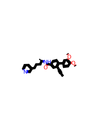 CC#Cc1cc(C(=O)N[C@H](C)CCCc2cccnc2)ccc1-c1ccc(OC)c(OC)c1